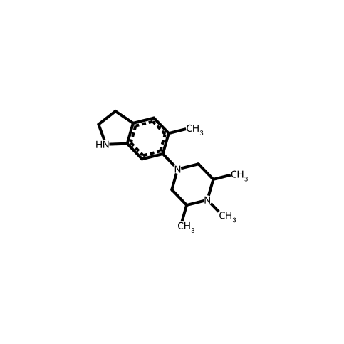 Cc1cc2c(cc1N1CC(C)N(C)C(C)C1)NCC2